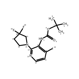 CC(C)(C)OC(=O)Nc1c(I)ccnc1N1CCC(F)(F)C1